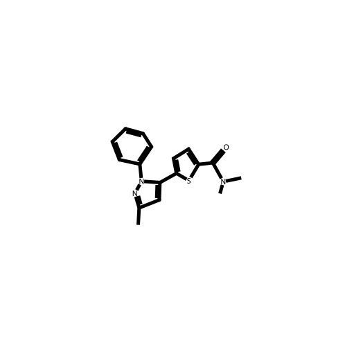 Cc1cc(-c2ccc(C(=O)N(C)C)s2)n(-c2ccccc2)n1